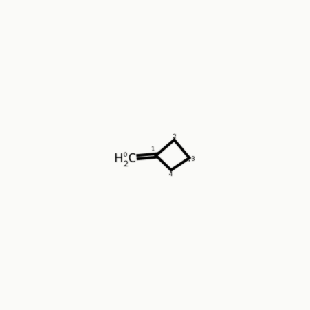 C=C1C[CH]C1